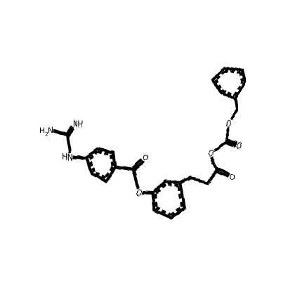 N=C(N)Nc1ccc(C(=O)Oc2cccc(CCC(=O)OC(=O)OCc3ccccc3)c2)cc1